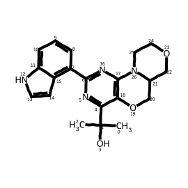 CC(C)(O)c1nc(-c2cccc3[nH]ccc23)nc2c1OCC1COCCN21